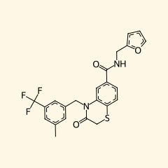 Cc1cc(CN2C(=O)CSc3ccc(C(=O)NCc4ccco4)cc32)cc(C(F)(F)F)c1